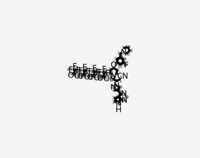 N#CCC(CN1CCC(Oc2cc(F)cc(CN3CCCC3)c2)CC1)n1cc(-c2ncnc3[nH]ccc23)cn1.O=C(O)C(F)(F)F.O=C(O)C(F)(F)F.O=C(O)C(F)(F)F.O=C(O)C(F)(F)F